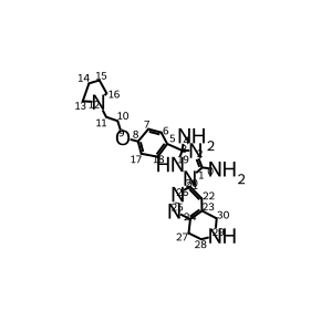 NC1=NC(N)(c2ccc(OCCN3CCCC3)cc2)NN1c1cc2c(nn1)CCNC2